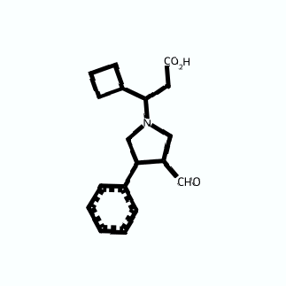 O=CC1CN(C(CC(=O)O)C2CCC2)CC1c1ccccc1